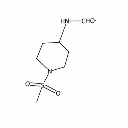 CS(=O)(=O)N1CCC(N[C]=O)CC1